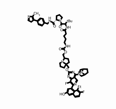 CCc1c(F)ccc2cc(O)cc(-c3ncc4c(N5CC6CCC(C5)N6)nc(OCC56CCCN5C(COC(=O)NCCCCC(=O)NC(C(=O)N5CCC[C@H]5C(=O)NCc5ccc(C7=C(C)N=CC7)cc5)C(C)(C)C)CC6)nc4c3F)c12